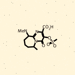 CNC1CCCC(C)n2c1nc(C(=O)O)c(OS(C)(=O)=O)c2=O